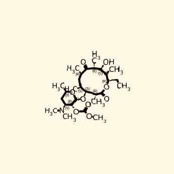 CC[C@H]1OC(=O)[C@H](C)[C@@H](O[C@@H]2O[C@H](C)C[C@H](N(C)C)[C@H]2OC(=O)OC)[C@@H](C)C[C@@H](C)C(=O)[C@H](C)[C@@H](O)[C@H]1C